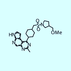 COCC1CCN(S(=O)(=O)CC2CCC(c3nc(C)nc4cnc5[nH]ccc5c34)CC2)C1